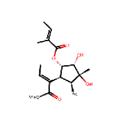 C/C=C(\C)C(=O)O[C@H]1[C@H](/C(=C\C)C(=O)OC)[C@H](C(C)=O)[C@@](C)(O)[C@H]1O